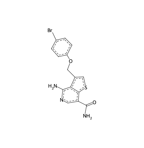 NC(=O)c1cnc(N)c2c(COc3ccc(Br)cc3)csc12